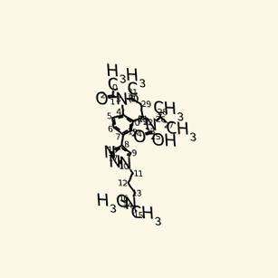 CC(=O)N1c2ccc(-c3cn(CCCN(C)C)nn3)cc2[C@H](N(C(=O)O)C(C)C)C[C@@H]1C